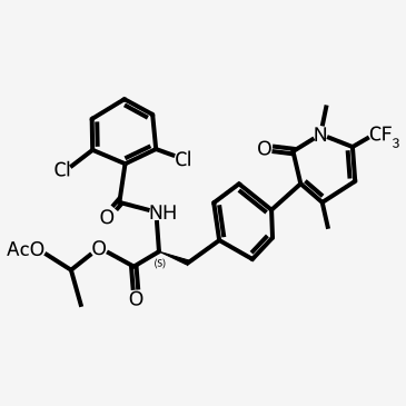 CC(=O)OC(C)OC(=O)[C@H](Cc1ccc(-c2c(C)cc(C(F)(F)F)n(C)c2=O)cc1)NC(=O)c1c(Cl)cccc1Cl